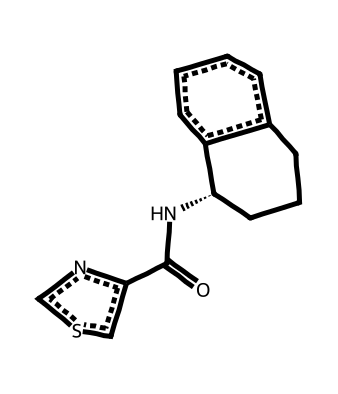 O=C(N[C@H]1CCCc2ccccc21)c1cscn1